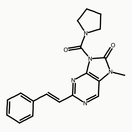 Cn1c(=O)n(C(=O)N2CCCC2)c2nc(C=Cc3ccccc3)ncc21